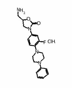 Cl.NCC1CN(c2ccc(N3CCN(c4ccccc4)CC3)c(F)c2)C(=O)O1